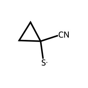 N#CC1([S])CC1